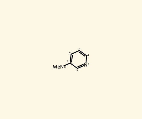 [C]Nc1cccnc1